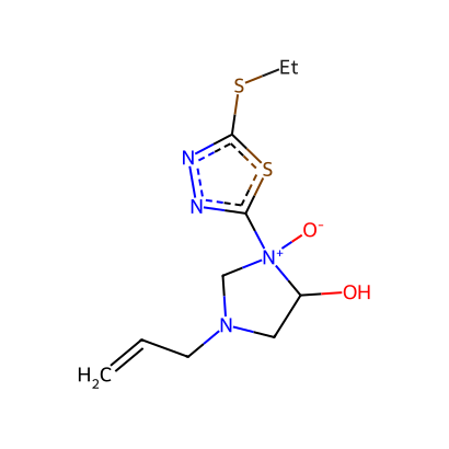 C=CCN1CC(O)[N+]([O-])(c2nnc(SCC)s2)C1